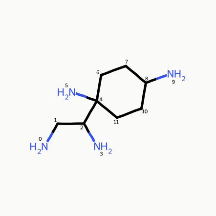 NCC(N)C1(N)CCC(N)CC1